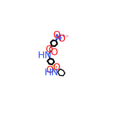 O=C(Nc1ccc(S(=O)(=O)NC2CCCCC2)cc1)Oc1ccc([N+](=O)[O-])cc1